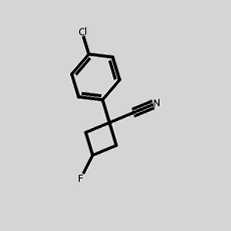 N#CC1(c2ccc(Cl)cc2)CC(F)C1